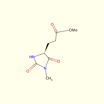 COC(=O)CC[C@@H]1NC(=O)N(C)C1=O